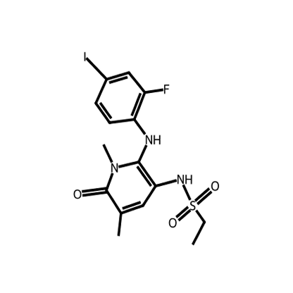 CCS(=O)(=O)Nc1cc(C)c(=O)n(C)c1Nc1ccc(I)cc1F